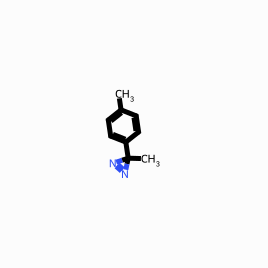 Cc1ccc(C2(C)N=N2)cc1